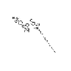 CCCCCCCCCCCCCCCCCCNC(=O)C1CC(=O)N(c2ccc(Oc3ccc(S(=O)(=O)O)cc3)c(S(=O)(=O)O)c2)C1